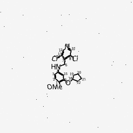 COc1ccc(NCc2c(Cl)cncc2Cl)cc1OC1CCCC1